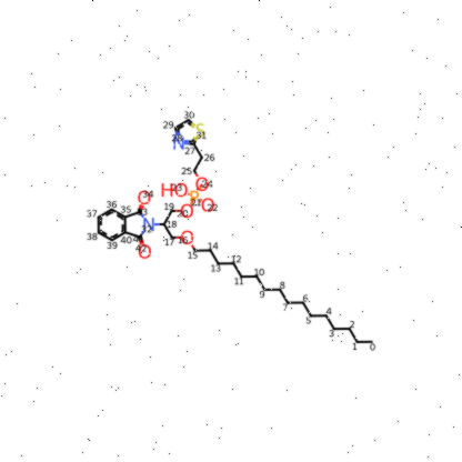 CCCCCCCCCCCCCCCCOCC(COP(=O)(O)OCCc1nccs1)N1C(=O)c2ccccc2C1=O